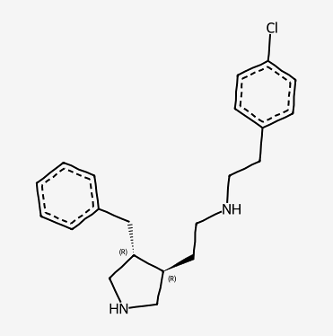 Clc1ccc(CCNCC[C@H]2CNC[C@@H]2Cc2ccccc2)cc1